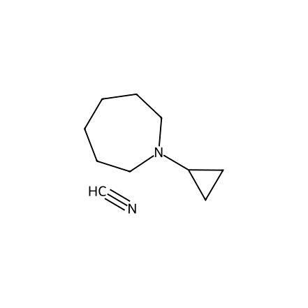 C#N.C1CCCN(C2CC2)CC1